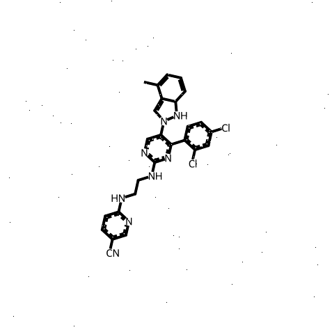 CC1=CC=CC2NN(c3cnc(NCCNc4ccc(C#N)cn4)nc3-c3ccc(Cl)cc3Cl)C=C12